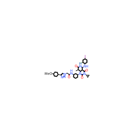 COc1ccc(-c2cn(CC(=O)Nc3cccc(-n4c(=O)n(C5CC5)c(=O)c5c(Nc6ccc(I)cc6F)[nH]c(=O)c(C)c54)c3)nn2)cc1